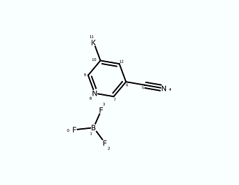 FB(F)F.N#Cc1cnc[c]([K])c1